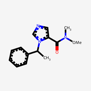 CON(C)C(=O)c1cncn1C(C)c1ccccc1